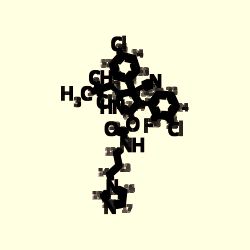 CC(C)(C)C[C@@H]1N[C@H](OC(=O)NCCCn2ccnc2)[C@H](c2cccc(Cl)c2F)[C@@]1(C#N)c1ccc(Cl)cc1